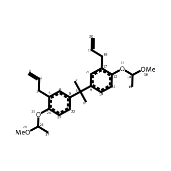 C=CCc1cc(C(C)(C)c2ccc(OC(C)OC)c(CC=C)c2)ccc1OC(C)OC